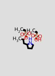 C=CS(=O)(=O)O.C=CS(=O)(=O)OC(C)CC1CCCN1